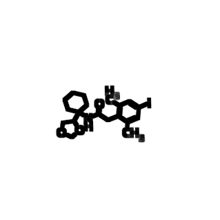 Cc1cc(I)cc(C)c1CC(=O)NC1(C2COCO2)CCCCC1